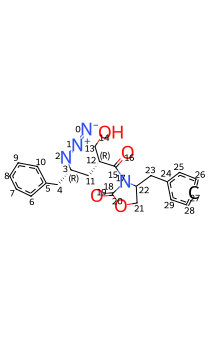 [N-]=[N+]=N[C@@H](Cc1ccccc1)C[C@H](CO)C(=O)N1C(=O)OCC1Cc1ccccc1